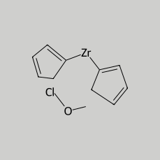 C1=CC[C]([Zr][C]2=CC=CC2)=C1.COCl